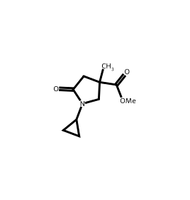 COC(=O)C1(C)CC(=O)N(C2CC2)C1